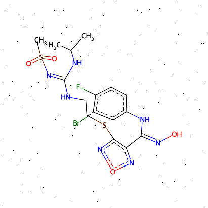 CC(C)N/C(=N\S(C)(=O)=O)NCCSc1nonc1/C(=N/O)Nc1ccc(F)c(Br)c1